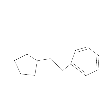 c1ccc(CCC2CCCC2)cc1